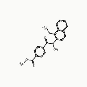 COC(=O)c1ccc(C(=O)N(O)c2ccc3ccccc3c2OC)cc1